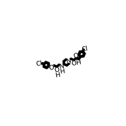 OC(CNC1CCN(CC(O)c2cc3ccc(Cl)cc3o2)CC1)COc1ccc(Cl)cc1